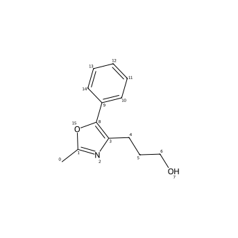 Cc1nc(CCCO)c(-c2ccccc2)o1